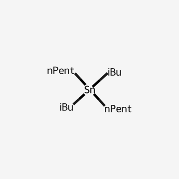 CCCC[CH2][Sn]([CH2]CCCC)([CH](C)CC)[CH](C)CC